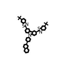 CC(C)(C)c1ccc2nc(-c3ccc4c(c3)c3cc(-c5nc6ccc(C(C)(C)C)cc6s5)ccc3n4-c3ccc(-c4ccc5ccccc5c4)cc3)sc2c1